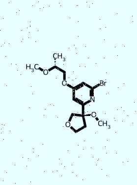 CO[C@H](C)COc1cc(Br)nc([C@]2(OC)CCOC2)c1